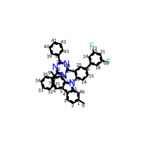 Cc1ccc2c3ccc(C)cc3n(-c3ccc(-c4cc(F)cc(F)c4)cc3-c3nc(-c4ccccc4)nc(-c4ccccc4)n3)c2c1